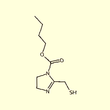 CCCCOC(=O)N1CCN=C1CS